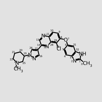 Cc1nc2ccc(Oc3ccc4ncc(-c5cnn(C6CCCN(C)C6)c5)nc4c3Cl)cc2[nH]1